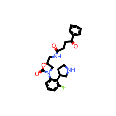 O=C(CCC(=O)c1ccccc1)NCC1CN(c2cccc(F)c2C2CCNC2)C(=O)O1